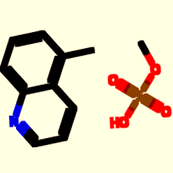 COS(=O)(=O)O.Cc1cccc2ncccc12